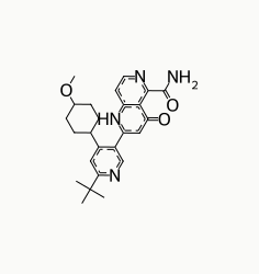 COC1CCC(c2cc(C(C)(C)C)ncc2-c2cc(=O)c3c(C(N)=O)nccc3[nH]2)CC1